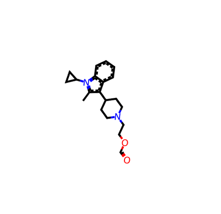 Cc1c(C2CCN(CCOC=O)CC2)c2ccccc2n1C1CC1